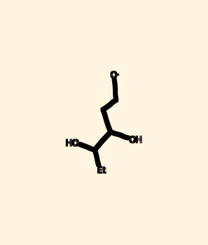 CCC(O)C(O)CC[O]